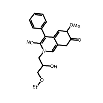 CCOCC(O)CN1C=C2CC(=O)C(OC)C=C2C(c2ccccc2)=C1C#N